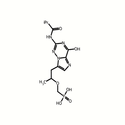 CC(Cc1cnc2c(O)nc(NC(=O)C(C)C)nn12)OCP(=O)(O)O